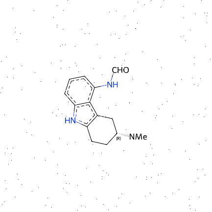 CN[C@@H]1CCc2[nH]c3cccc(NC=O)c3c2C1